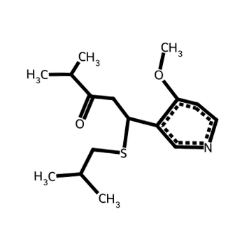 COc1ccncc1C(CC(=O)C(C)C)SCC(C)C